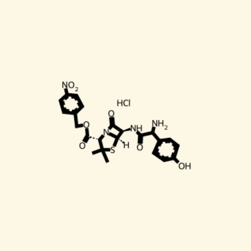 CC1(C)S[C@@H]2[C@H](NC(=O)C(N)c3ccc(O)cc3)C(=O)N2[C@H]1C(=O)OCc1ccc([N+](=O)[O-])cc1.Cl